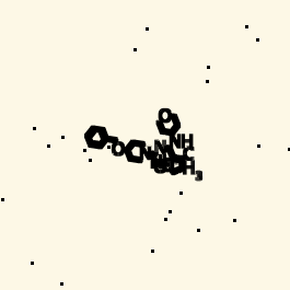 CC1=C(/C(=N\C(=N)N2CCC(OCc3ccccc3)CC2)NC2CCOCC2)[S+]([O-])CC1